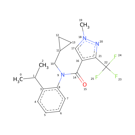 CC(C)c1ccccc1N(CC1CC1)C(=O)c1cn(C)nc1C(F)(F)F